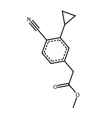 COC(=O)Cc1ccc(C#N)c(C2CC2)c1